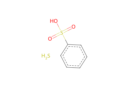 O=S(=O)(O)c1ccccc1.S